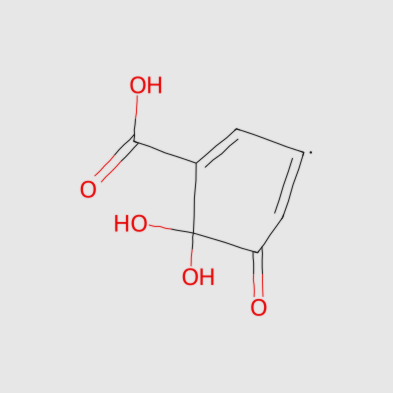 O=C(O)C1=C[C]=CC(=O)C1(O)O